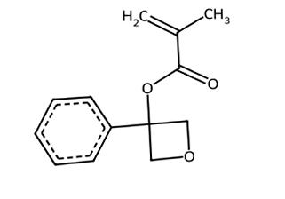 C=C(C)C(=O)OC1(c2ccccc2)COC1